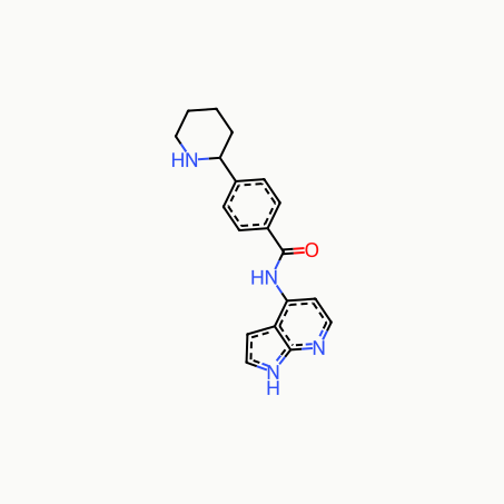 O=C(Nc1ccnc2[nH]ccc12)c1ccc(C2CCCCN2)cc1